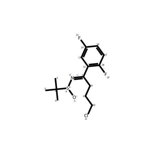 CC(C)(C)[S+]([O-])/N=C(\CCCCl)c1cc(F)ccc1F